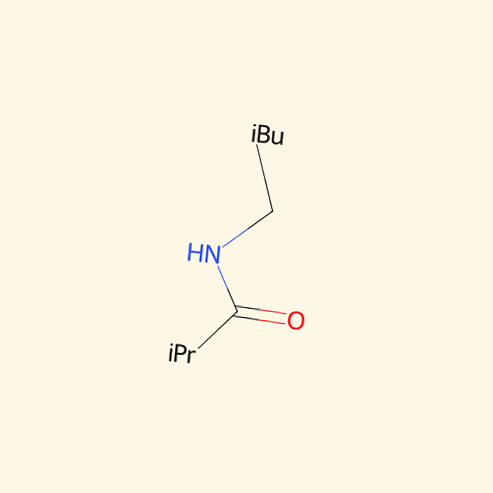 CCC(C)CNC(=O)C(C)C